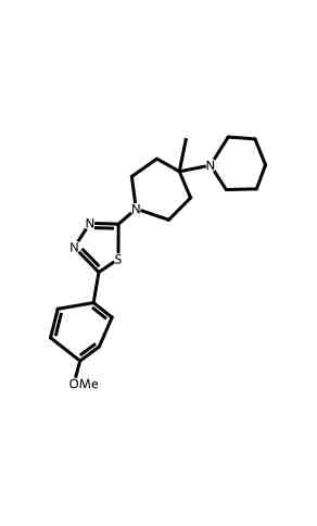 COc1ccc(-c2nnc(N3CCC(C)(N4CCCCC4)CC3)s2)cc1